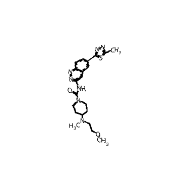 COCCN(C)C1CCN(C(=O)Nc2cc3cc(-c4nnc(C)s4)ccc3nn2)CC1